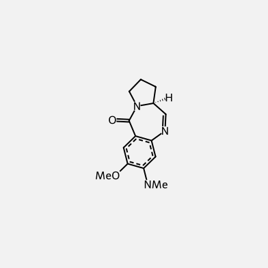 CNc1cc2c(cc1OC)C(=O)N1CCC[C@H]1C=N2